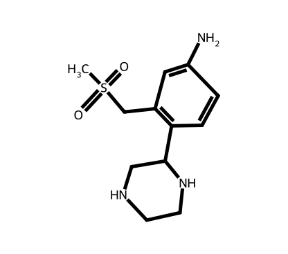 CS(=O)(=O)Cc1cc(N)ccc1C1CNCCN1